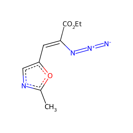 CCOC(=O)C(=Cc1cnc(C)o1)N=[N+]=[N-]